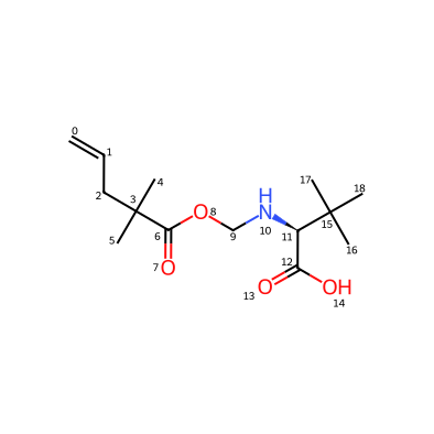 C=CCC(C)(C)C(=O)OCN[C@H](C(=O)O)C(C)(C)C